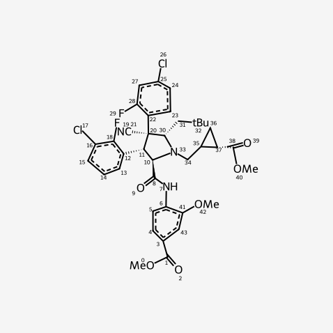 COC(=O)c1ccc(NC(=O)[C@H]2[C@H](c3cccc(Cl)c3F)[C@@](C#N)(c3ccc(Cl)cc3F)[C@H](CC(C)(C)C)N2CC2C[C@@H]2C(=O)OC)c(OC)c1